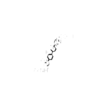 CC(=O)NC[C@H]1CN(c2ccc(-c3ccc(N4C=NN(CC(=O)O)CC4)nc3)c(F)c2)C(=O)O1